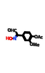 COc1cc(C(C=O)=NO)ccc1OC(C)=O